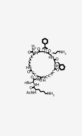 C=C(C[C@@H]1NC(=O)[C@H](CCCN)NC(=O)[C@@H](Cc2ccccc2)NC(=O)CCCCNC(=O)[C@@H](NC(=O)[C@H](CCCC)NC(=O)[C@H](CCCCN)NC(C)=O)CCC(=O)NCCCC[C@@H](C(N)=O)NC1=O)c1ccccc1